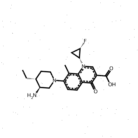 CC[C@@H]1CCN(c2ccc3c(=O)c(C(=O)O)cn([C@@H]4C[C@@H]4F)c3c2C)C[C@H]1N